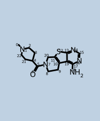 CN1CCC(C(=O)N2CCc3c(sc4ncnc(N)c34)C2)CC1